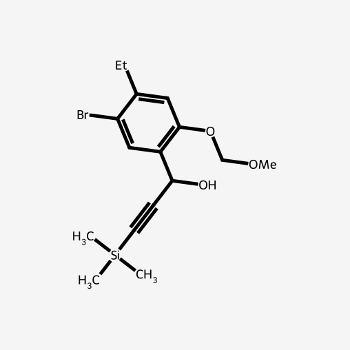 CCc1cc(OCOC)c(C(O)C#C[Si](C)(C)C)cc1Br